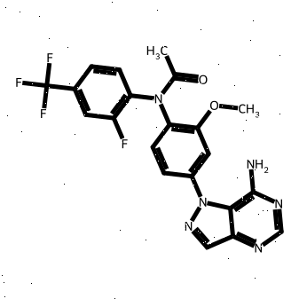 COc1cc(-n2ncc3ncnc(N)c32)ccc1N(C(C)=O)c1ccc(C(F)(F)F)cc1F